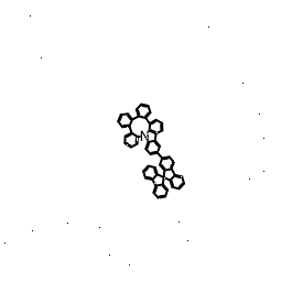 c1ccc2c(c1)-c1ccccc1C21c2ccccc2-c2ccc(-c3ccc4c(c3)c3cccc5c6ccccc6c6ccccc6c6ccccc6n4c53)cc21